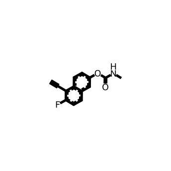 C#Cc1c(F)ccc2cc(OC(=O)NC)ccc12